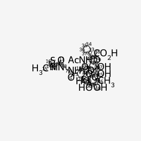 CCC1CC(C(=O)NCCNC(=O)c2nc(C)cs2)C[C@@H](O[C@@H]2O[C@@H](CO)[C@H](O)C(O[C@@H](CC3CCCCC3)C(=O)O)C2NC(C)=O)[C@@H]1OC1O[C@@H](C)C(O)[C@H](O)[C@@H]1O